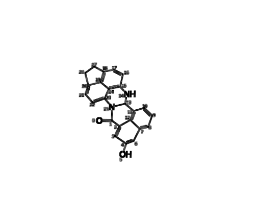 O=C1c2cc(O)cc3cccc(c23)C2Nc3ccc4c5c(ccc(c35)N12)CC4